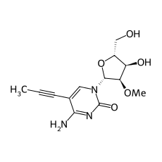 CC#Cc1cn([C@@H]2O[C@H](CO)[C@@H](O)[C@H]2OC)c(=O)nc1N